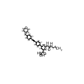 C=CCNC(=O)Nc1nc(C(=O)NO)cc(-c2ccc(C#Cc3ccc(CN4CCOCC4)cc3)cc2)n1